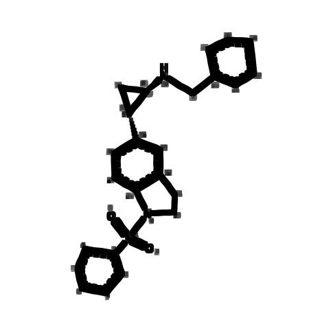 O=S(=O)(c1ccccc1)N1CCc2cc([C@@H]3C[C@H]3NCc3ccccc3)ccc21